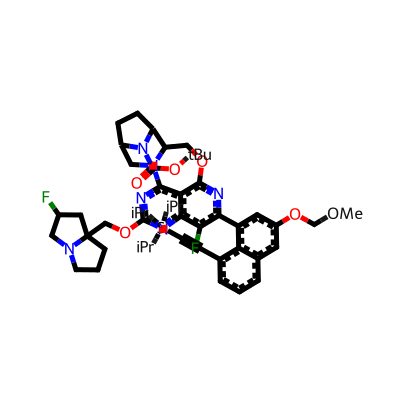 COCOc1cc(-c2nc3c4c(nc(OCC56CCCN5CC(F)C6)nc4c2F)N2CC4CCC(C2CO3)N4C(=O)OC(C)(C)C)c2c(C#C[Si](C(C)C)(C(C)C)C(C)C)cccc2c1